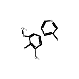 CSc1cccc(C)c1I.Ic1cccnc1